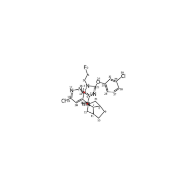 FCCn1nc(NC2C3CCC2CN(c2cnnc(Cl)c2)C3)nc1Oc1cccc(Cl)c1